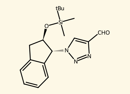 CC(C)(C)[Si](C)(C)O[C@@H]1Cc2ccccc2[C@H]1n1cc(C=O)nn1